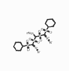 CCCCCCCCCC(S(=O)(=O)C(=[N+]=[N-])S(=O)(=O)C1CCCCC1)S(=O)(=O)C(=[N+]=[N-])S(=O)(=O)C1CCCCC1